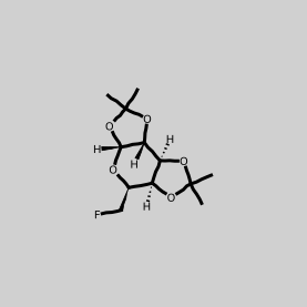 CC1(C)O[C@H]2[C@@H](O1)[C@@H](CF)O[C@@H]1OC(C)(C)O[C@@H]12